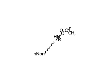 CCCCCCCCCC=CC=CC=CC=CC=CC=CC(=O)NCCOC(=O)c1ccc(F)c(C)c1